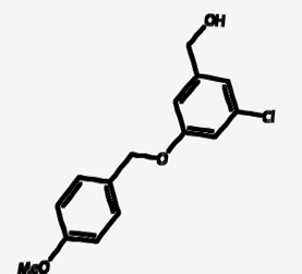 COc1ccc(COc2cc(Cl)cc(CO)c2)cc1